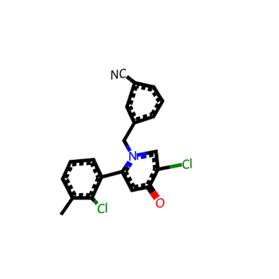 Cc1cccc(-c2cc(=O)c(Cl)cn2Cc2cccc(C#N)c2)c1Cl